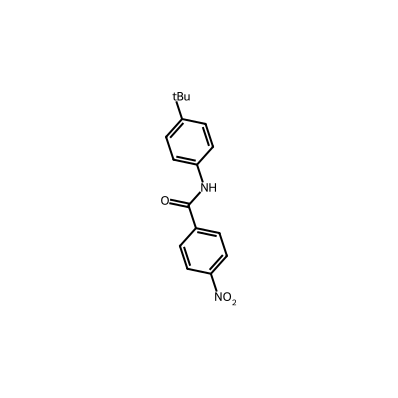 CC(C)(C)c1ccc(NC(=O)c2ccc([N+](=O)[O-])cc2)cc1